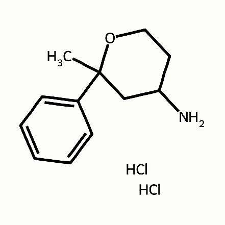 CC1(c2ccccc2)CC(N)CCO1.Cl.Cl